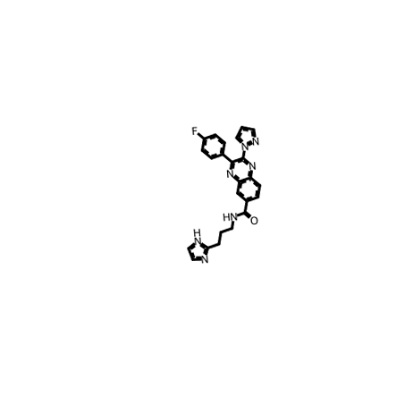 O=C(NCCCc1ncc[nH]1)c1ccc2nc(-n3cccn3)c(-c3ccc(F)cc3)nc2c1